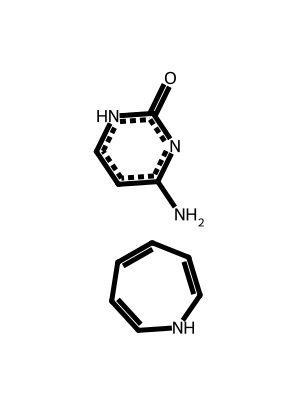 C1=CC=CNC=C1.Nc1cc[nH]c(=O)n1